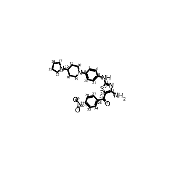 Nc1nc(Nc2ccc(N3CCC(N4CCCC4)CC3)cc2)sc1C(=O)c1ccc([N+](=O)[O-])cc1